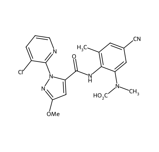 COc1cc(C(=O)Nc2c(C)cc(C#N)cc2N(C)C(=O)O)n(-c2ncccc2Cl)n1